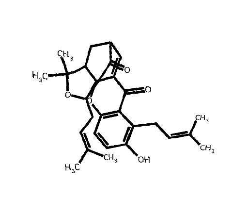 CC(C)=CCc1c(O)ccc2c1C(=O)C1=CC3CC4C(C)(C)OC(CC=C(C)C)(C3=O)C14O2